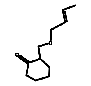 C/C=C/COCC1CCCCC1=O